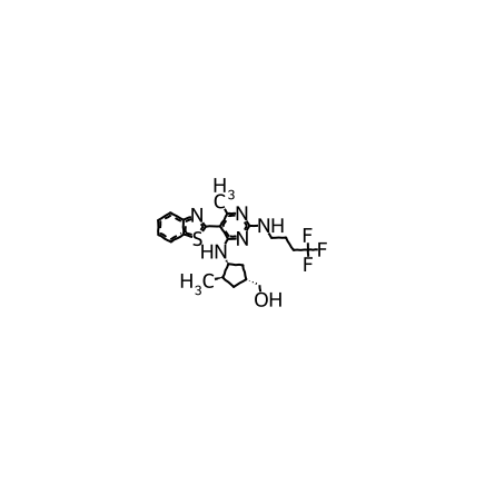 Cc1nc(NCCCC(F)(F)F)nc(N[C@@H]2C[C@H](CO)C[C@H]2C)c1-c1nc2ccccc2s1